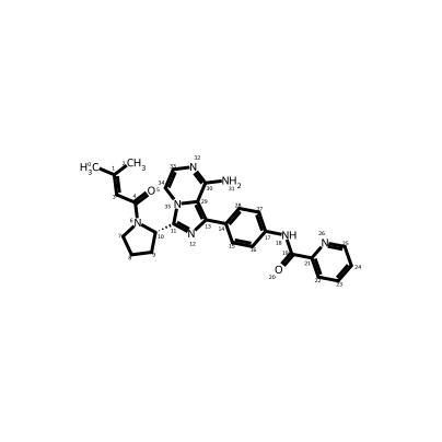 CC(C)=CC(=O)N1CCC[C@H]1c1nc(-c2ccc(NC(=O)c3ccccn3)cc2)c2c(N)nccn12